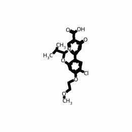 COCCOc1cc2c(cc1Cl)-c1cc(=O)c(C(=O)O)cn1C(C(C)C)O2